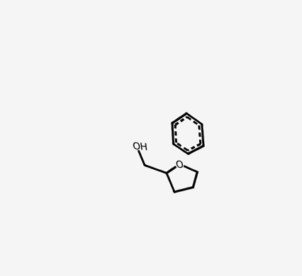 OCC1CCCO1.c1ccccc1